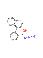 [N-]=[N+]=NC(O)c1ccccc1-c1cccc2ccccc12